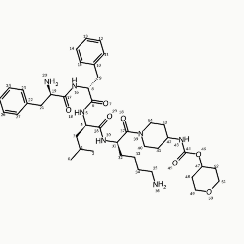 CC(C)C[C@@H](NC(=O)[C@@H](Cc1ccccc1)NC(=O)[C@H](N)Cc1ccccc1)C(=O)N[C@H](CCCCN)C(=O)N1CCC(NC(=O)OC2CCOCC2)CC1